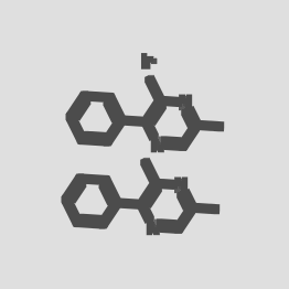 Cc1cnc(-c2ccccc2)c(C)n1.Cc1cnc(-c2ccccc2)c(C)n1.[Ir]